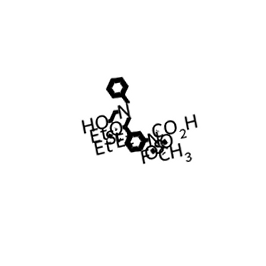 CC[Si](CC)(CC)OC(CN(CCO)Cc1ccccc1)c1ccc(F)c(N(C(=O)O)S(C)(=O)=O)c1